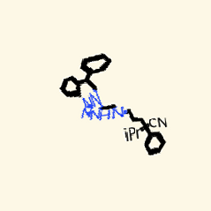 CC(C)C(C#N)(CCCNCc1nnnn1CC(c1ccccc1)c1ccccc1)c1ccccc1